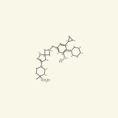 CCOC(=O)C1(C)CCN(C2=NOC3(C2)CN(Cc2cc(OCC)c(N4CCCCC4)c(C4CC4)c2)C3)CC1